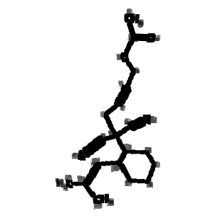 CC(=O)OCC#CCC(C#N)(C#N)C1CCCCC1C=C(C)C